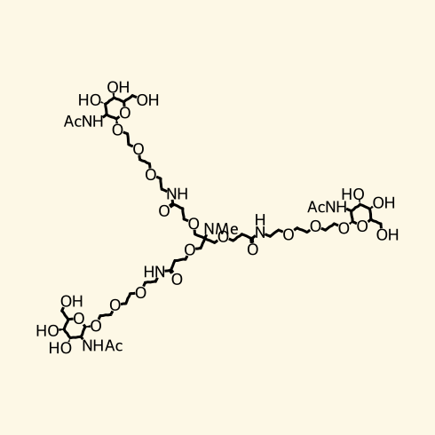 CNC(COCCC(=O)NCCOCCOCCO[C@@H]1OC(CO)[C@H](O)[C@@H](O)C1NC(C)=O)(COCCC(=O)NCCOCCOCCO[C@@H]1OC(CO)[C@H](O)[C@@H](O)C1NC(C)=O)COCCC(=O)NCCOCCOCCO[C@@H]1OC(CO)[C@H](O)[C@@H](O)C1NC(C)=O